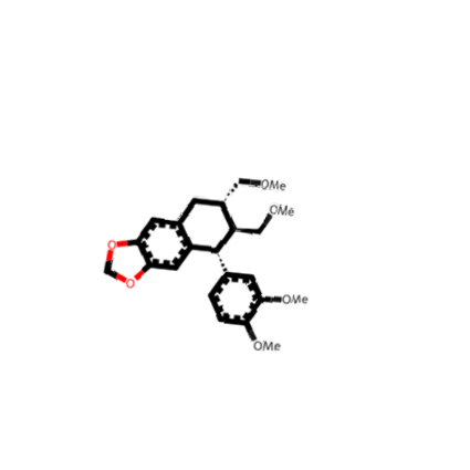 COC[C@H]1Cc2cc3c(cc2[C@@H](c2ccc(OC)c(OC)c2)[C@@H]1COC)OCO3